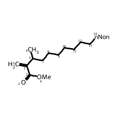 C=C(C(=O)OC)C(C)CCCCCCCCCCCCCCCC